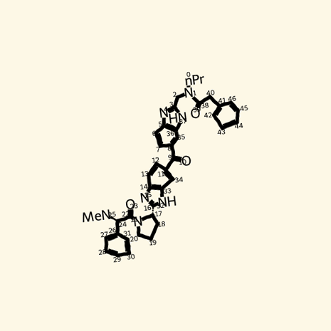 CCCN(Cc1nc2ccc(C(=O)c3ccc4nc([C@@H]5CCCN5C(=O)[C@H](NC)c5ccccc5)[nH]c4c3)cc2[nH]1)C(=O)Cc1ccccc1